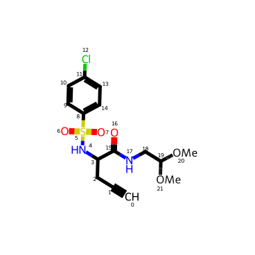 C#CCC(NS(=O)(=O)c1ccc(Cl)cc1)C(=O)NCC(OC)OC